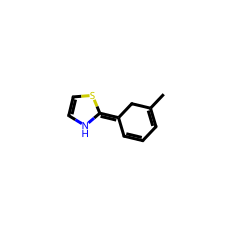 CC1=CC=CC(=C2NC=CS2)C1